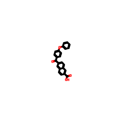 O=C(O)c1ccc2cc(C(=O)c3ccc(Oc4ccccc4)cc3)ccc2c1